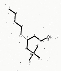 CCCCC[C@H](CCO)CC(C)(C)C